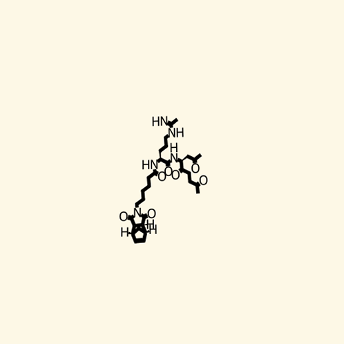 CC(=N)NCCC[C@H](NC(=O)CCCCCN1C(=O)C2[C@@H](C1=O)[C@@H]1C=C[C@H]2C1)C(=O)N[C@@H](CC(C)=O)C(=O)CCC(C)=O